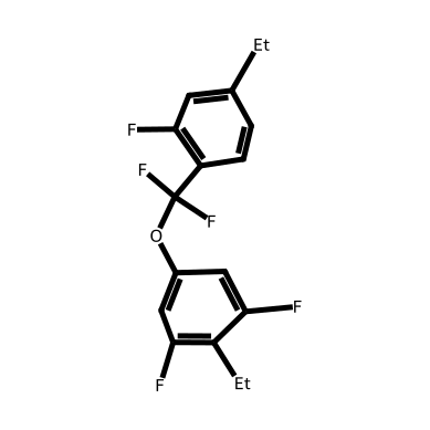 CCc1ccc(C(F)(F)Oc2cc(F)c(CC)c(F)c2)c(F)c1